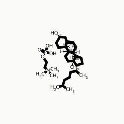 CC(C)CCCC(C)[C@H]1CC[C@H]2[C@@H]3CC=C4C[C@@H](O)CC[C@]4(C)[C@H]3CC[C@]12C.C[N+](C)(C)CCOP(=O)(O)O